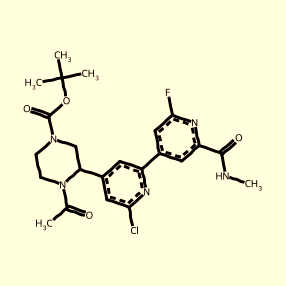 CNC(=O)c1cc(-c2cc(C3CN(C(=O)OC(C)(C)C)CCN3C(C)=O)cc(Cl)n2)cc(F)n1